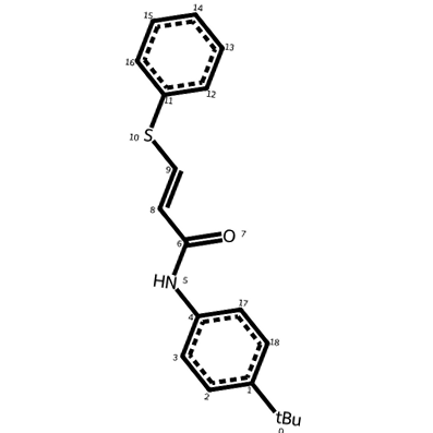 CC(C)(C)c1ccc(NC(=O)C=CSc2ccccc2)cc1